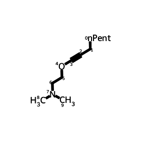 CCCCCCC#COCCN(C)C